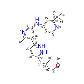 Cc1ncc(Nc2ccnc(C(C)(C)C)c2)cc1C(=N)/C=C\C(=N)CC1CCOCC1